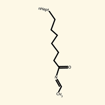 CC=NC(=O)CCCCCCCCCCCCC